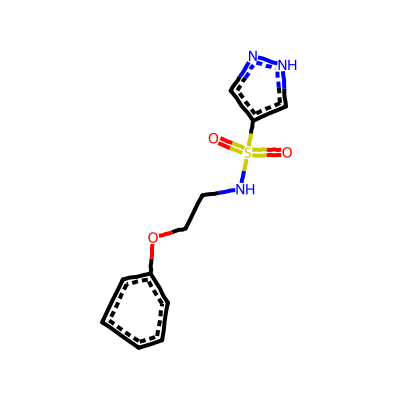 O=S(=O)(NCCOc1ccccc1)c1cn[nH]c1